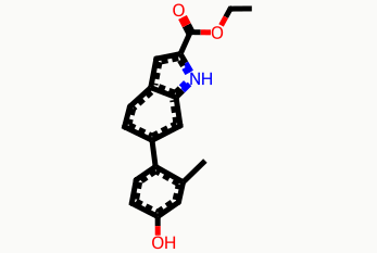 CCOC(=O)c1cc2ccc(-c3ccc(O)cc3C)cc2[nH]1